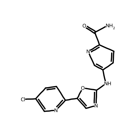 NC(=O)c1ccc(Nc2ncc(-c3ccc(Cl)cn3)o2)cn1